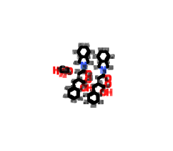 O.O.O=C(O)[C@H](CC(=O)N1CC2=CCCCC2C1)Cc1ccccc1.O=C(O)[C@H](CC(=O)N1CC2=CCCCC2C1)Cc1ccccc1.[Ca]